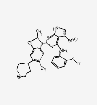 Bc1c[nH]c2nc(N3c4cc(C)c(C5CCNCC5)cc4OC3C)nc(Nc3ccccc3SC(C)C)c12